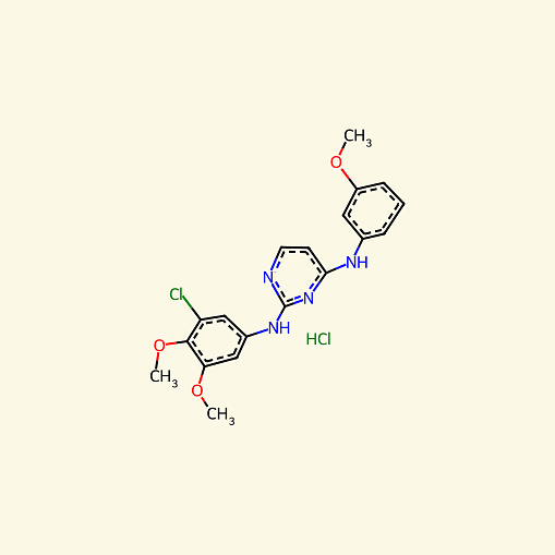 COc1cccc(Nc2ccnc(Nc3cc(Cl)c(OC)c(OC)c3)n2)c1.Cl